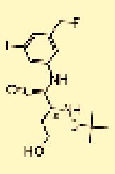 CC(C)(C)ON[C@@H](CCO)C(=C=O)Nc1cc(I)cc(CF)c1